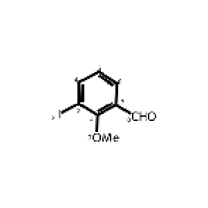 COc1c(I)cccc1C=O